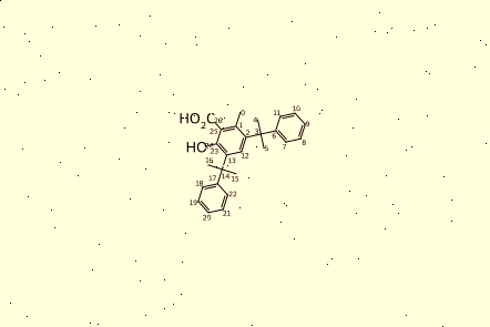 Cc1c(C(C)(C)c2ccccc2)cc(C(C)(C)c2ccccc2)c(O)c1C(=O)O